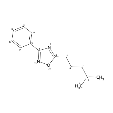 CN(C)CCCc1nc(-c2ccccc2)no1